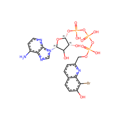 Nc1ccnc2c1ncn2[C@@H]1O[C@H](OP(=O)(O)OP(=O)(O)OP(=O)(O)OCc2ccc3ccc(O)c(Br)c3n2)[C@H](O)C1O